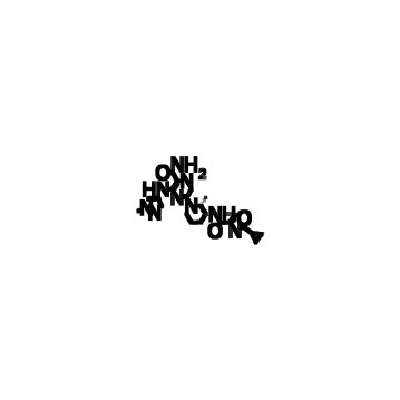 C[C@@H]1[C@H](NC(=O)c2coc(C3CC3)n2)CCCN1c1cnc(C(N)=O)c(Nc2cnn(C)c2)n1